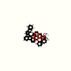 CC1(C)c2ccccc2-c2c(N(c3ccc4c(c3)C3(c5ccccc5-4)c4ccccc4-n4c5ccccc5c5cccc3c54)c3ccccc3-c3ccccc3-c3cccc4ccccc34)cccc21